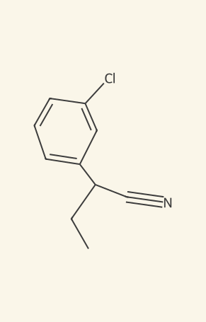 CCC(C#N)c1cccc(Cl)c1